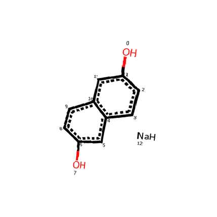 Oc1ccc2cc(O)ccc2c1.[NaH]